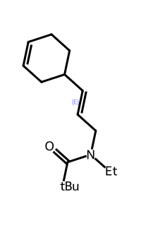 CCN(C/C=C/C1CC=CCC1)C(=O)C(C)(C)C